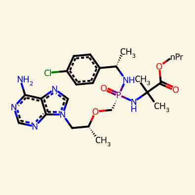 CCCOC(=O)C(C)(C)N[P@](=O)(CO[C@H](C)Cn1cnc2c(N)ncnc21)N[C@@H](C)c1ccc(Cl)cc1